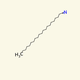 CCCCCCCCCCCCCCCCCCCCC#N